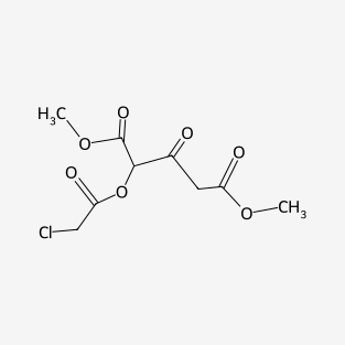 COC(=O)CC(=O)C(OC(=O)CCl)C(=O)OC